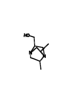 CC1CN2CC(C)N1CC2CO